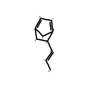 CC=CC1CC2=CC=C1C2